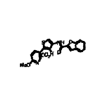 COc1ccc(-c2scc(NC(=O)c3cc4ccccc4o3)c2C(=O)O)cn1